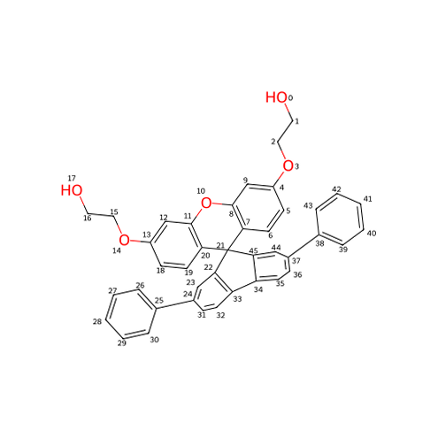 OCCOc1ccc2c(c1)Oc1cc(OCCO)ccc1C21c2cc(-c3ccccc3)ccc2-c2ccc(-c3ccccc3)cc21